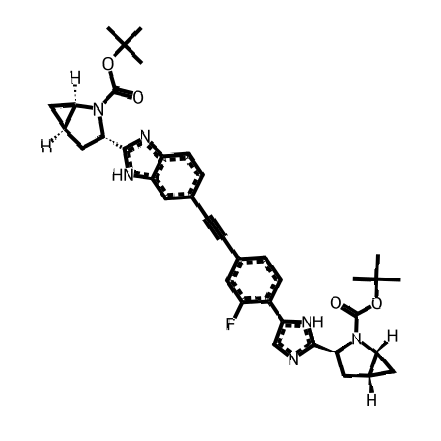 CC(C)(C)OC(=O)N1[C@@H]2C[C@@H]2C[C@H]1c1ncc(-c2ccc(C#Cc3ccc4nc([C@@H]5C[C@H]6C[C@H]6N5C(=O)OC(C)(C)C)[nH]c4c3)cc2F)[nH]1